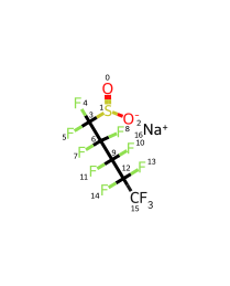 O=S([O-])C(F)(F)C(F)(F)C(F)(F)C(F)(F)C(F)(F)F.[Na+]